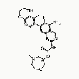 Cc1c(-c2cc3cc(NC(=O)O[C@H]4COCCN(C)C4)ncc3c(N)c2F)cnc2c1NCCO2